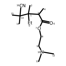 CCC(C)(C(C)C(=O)OCCN(C)C)C(C)(C)C#N